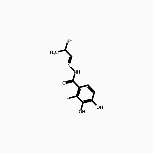 CC(C)C(C)C=NNC(=O)c1ccc(O)c(O)c1F